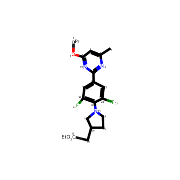 CCCOc1cc(C)nc(-c2cc(F)c(N3CCC(CC(=O)OCC)C3)c(F)c2)n1